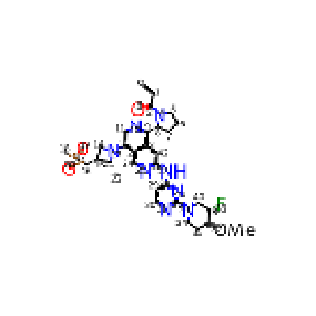 C=CC(=O)N1CCC[C@H]1c1ncc(N2C[C@H](CS(C)(=O)=O)[C@H]2C)c2cnc(Nc3ccnc(N4CC[C@@H](OC)[C@@H](F)C4)n3)cc12